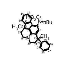 CCCCN(C(=O)O)c1cc2c3c(c1)[C@](C)(c1ccccc1)CCN3CC[C@@]2(C)c1ccccc1